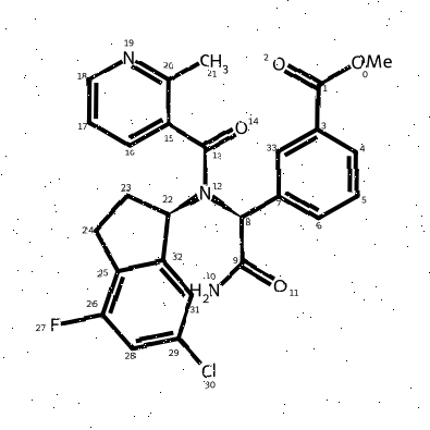 COC(=O)c1cccc([C@@H](C(N)=O)N(C(=O)c2cccnc2C)[C@@H]2CCc3c(F)cc(Cl)cc32)c1